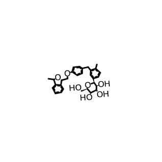 Cc1ccc([C@@H]2O[C@H](CO)[C@@H](O)[C@H](O)[C@H]2O)cc1Cc1ccc(OCC2OC(C)c3ccccc32)cc1